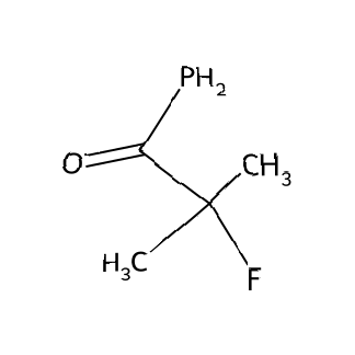 CC(C)(F)C(=O)P